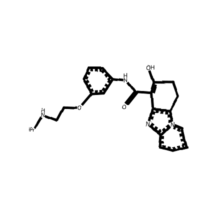 CC(C)NCCOc1cccc(NC(=O)C2=C(O)CCc3c2nc2ccccn32)c1